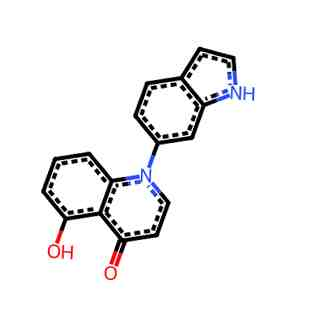 O=c1ccn(-c2ccc3cc[nH]c3c2)c2cccc(O)c12